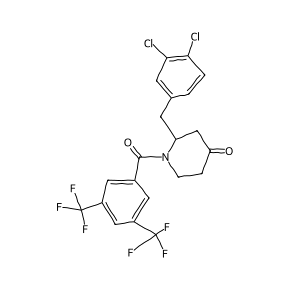 O=C1CCN(C(=O)c2cc(C(F)(F)F)cc(C(F)(F)F)c2)C(Cc2ccc(Cl)c(Cl)c2)C1